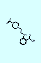 CC(=O)N1CCN(CCNc2ccccc2C(=O)O)CC1